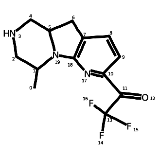 CC1CNCC2Cc3ccc(C(=O)C(F)(F)F)nc3N12